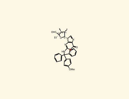 CC[C@@]1(C=O)O[C@@H](n2cnc3c(=O)[nH]c(NC(c4ccccc4)(c4ccccc4)c4ccc(OC)cc4)nc32)[C@H](F)[C@@H]1C